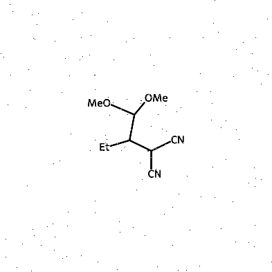 CCC([C](C#N)C#N)C(OC)OC